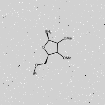 B[C@@H]1O[C@H](COC(C)C)C(OC)C1OC